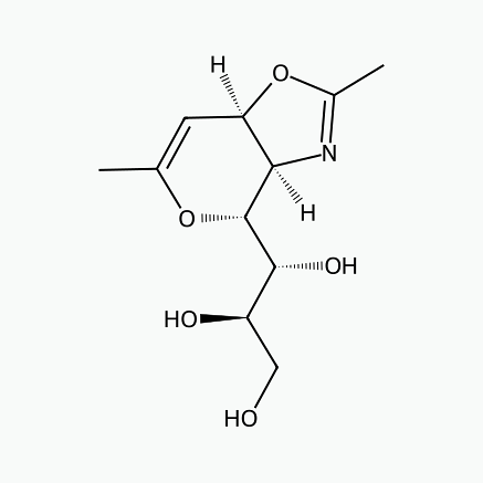 CC1=C[C@H]2OC(C)=N[C@H]2[C@H]([C@H](O)[C@H](O)CO)O1